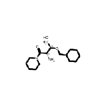 C[C@@H](OCC1CCCCC1)[C@H](N)C(=O)N1CCCCC1.Cl